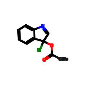 COC(=O)OC1(Cl)C=Nc2ccccc21